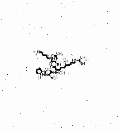 CC(C)C[C@H](NC(=O)[C@@H](NC(=O)[C@H](CO)NC(=O)[C@H]1CCCN1)[C@@H](O)CC[C@@H](N)CCCNC(=N)N)C(=O)NCCCCN